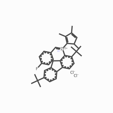 CC1=CC(C)[C](/[Zr+2](=[CH]/c2ccc(F)cc2)[c]2c(C(C)(C)C)ccc3c2Cc2cc(C(C)(C)C)ccc2-3)=C1C.[Cl-].[Cl-]